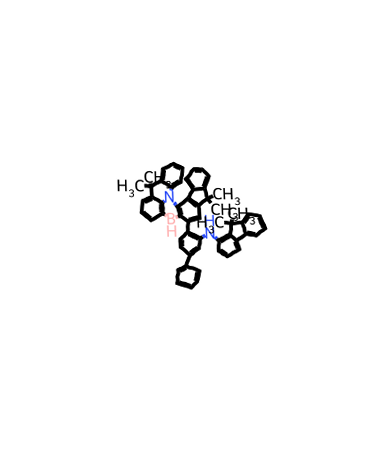 CC1(C)c2ccccc2-c2c1cc(-c1ccc(-c3ccccc3)cc1Nc1cccc3c1C(C)(C)c1ccccc1-3)c1c2N2c3ccccc3C(C)(C)c3cccc(c32)B1